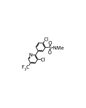 CNS(=O)(=O)c1cc(-c2ncc(C(F)(F)F)cc2Cl)ccc1Cl